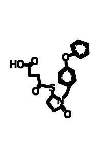 O=C(O)CCC(=O)SC1CCC(=O)N1Cc1ccc(Oc2ccccc2)cc1